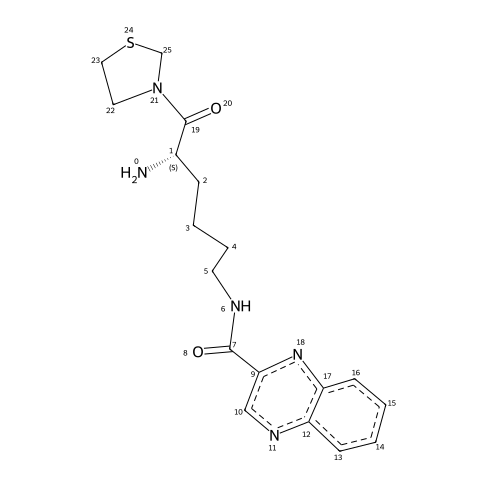 N[C@@H](CCCCNC(=O)c1cnc2ccccc2n1)C(=O)N1CCSC1